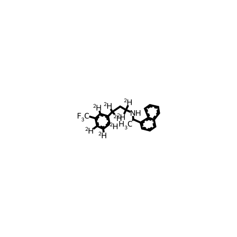 [2H]c1c([2H])c(C(F)(F)F)c([2H])c(C([2H])([2H])CC([2H])([2H])N[C@H](C)c2cccc3ccccc23)c1[2H]